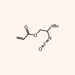 C=CC(=O)OCC(CCCC)N=C=O